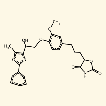 COc1cc(CCCC2OC(=O)NC2=O)ccc1OCC(O)c1nc(-c2ccccc2)oc1C